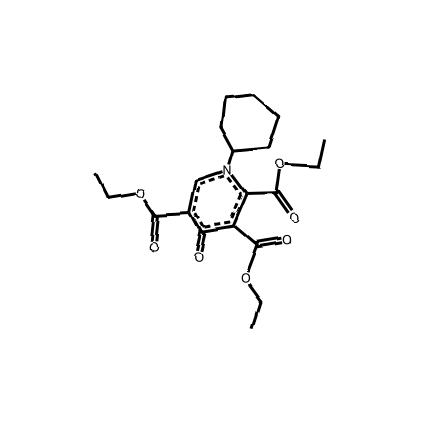 CCOC(=O)c1cn(C2CCCCC2)c(C(=O)OCC)c(C(=O)OCC)c1=O